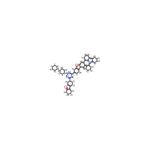 c1ccc(-c2ccc(-c3nc(-c4ccc5c(c4)oc4ccccc45)nc(-c4ccc5c(c4)oc4cc(-c6cccc7c8ccccc8n(-c8ccccc8)c67)ccc45)n3)cc2)cc1